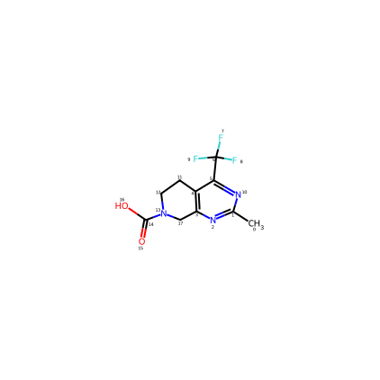 Cc1nc2c(c(C(F)(F)F)n1)CCN(C(=O)O)C2